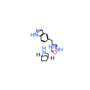 N=CC(Cc1ccc2[nH]ncc2c1)NC(=O)[C@H]1N[C@@H]2CC[C@H]1C2